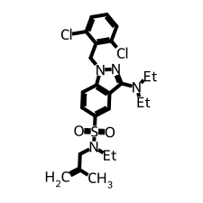 C=C(C)CN(CC)S(=O)(=O)c1ccc2c(c1)c(N(CC)CC)nn2Cc1c(Cl)cccc1Cl